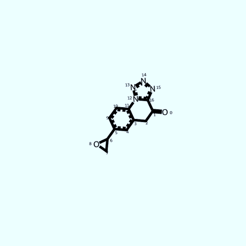 O=C1Cc2cc(C3CO3)ccc2-n2nnnc21